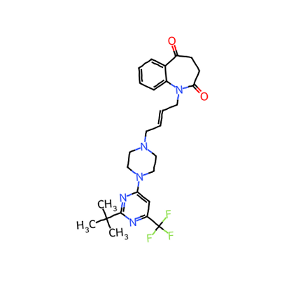 CC(C)(C)c1nc(N2CCN(C/C=C/CN3C(=O)CCC(=O)c4ccccc43)CC2)cc(C(F)(F)F)n1